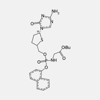 CC(C)COC(=O)CNP(=O)(OCC1CC[C@H](n2cnc(N)nc2=O)S1)Oc1cccc2ccccc12